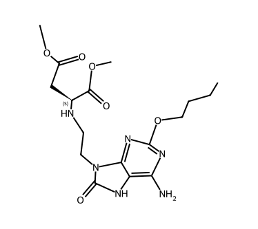 CCCCOc1nc(N)c2[nH]c(=O)n(CCN[C@@H](CC(=O)OC)C(=O)OC)c2n1